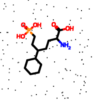 NC(CCC(CCP(=O)(O)O)C1CCCCC1)C(=O)O